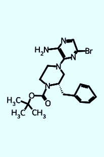 CC(C)(C)OC(=O)N1CCN(c2nc(Br)cnc2N)C[C@@H]1Cc1ccccc1